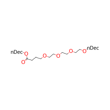 CCCCCCCCCCOCCOCCOCCOCCCC(=O)OCCCCCCCCCC